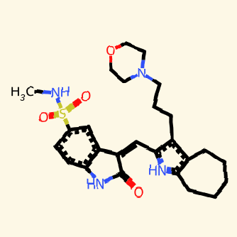 CNS(=O)(=O)c1ccc2c(c1)/C(=C/c1[nH]c3c(c1CCCN1CCOCC1)CCCCC3)C(=O)N2